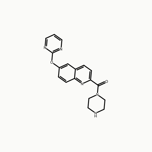 O=C(c1ccc2cc(Oc3ncccn3)ccc2n1)N1CCNCC1